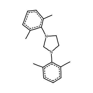 Cc1cccc(C)c1N1CCN(c2c(C)cccc2C)C1